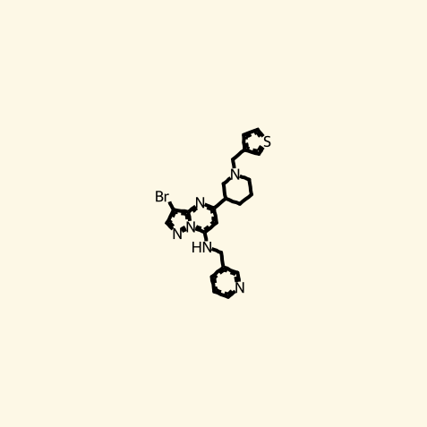 Brc1cnn2c(NCc3cccnc3)cc(C3CCCN(Cc4ccsc4)C3)nc12